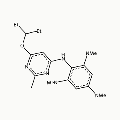 CCC(CC)Oc1cc(Nc2c(NC)cc(NC)cc2NC)nc(C)n1